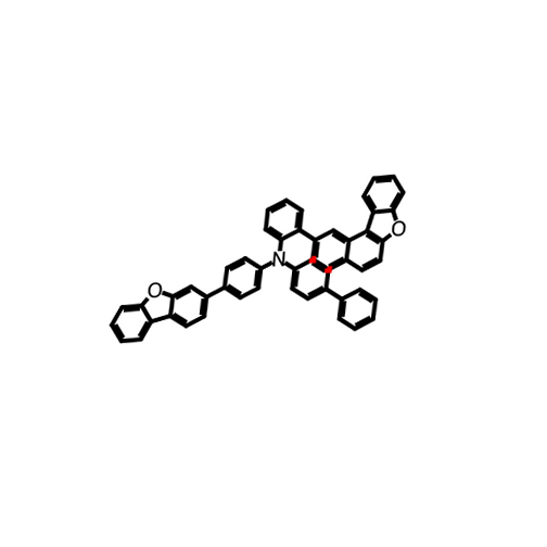 c1ccc(-c2ccc(N(c3ccc(-c4ccc5c(c4)oc4ccccc45)cc3)c3ccccc3-c3ccc4ccc5oc6ccccc6c5c4c3)cc2)cc1